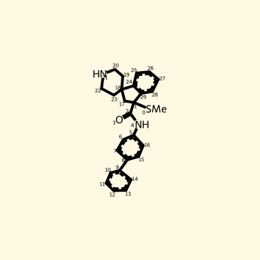 CSC1(C(=O)Nc2ccc(-c3ccccc3)cc2)CC2(CCNCC2)c2ccccc21